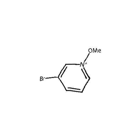 CO[n+]1cccc(Br)c1